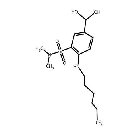 CN(C)S(=O)(=O)c1cc(C(O)O)ccc1NCCCCCC(F)(F)F